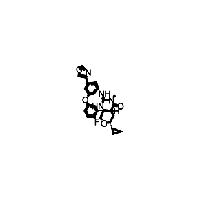 CN1C(=N)N[C@@]2(c3cc(Oc4cccc(-c5cocn5)c4)ccc3F)CO[C@@H](C3CC3)C[C@H]2C1=O